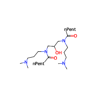 CCCCCC(=O)N(CCCN(C)C)CC(O)CN(CCCN(C)C)C(=O)CCCCC